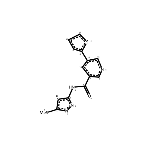 CSc1nnc(NC(=O)c2cncc(-c3cccs3)c2)s1